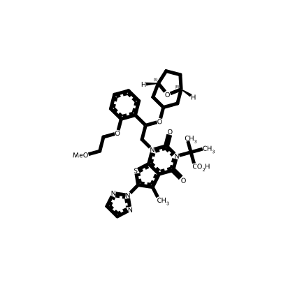 COCCOc1ccccc1C(Cn1c(=O)n(C(C)(C)C(=O)O)c(=O)c2c(C)c(-n3nccn3)sc21)OC1C[C@H]2CC[C@@H](C1)O2